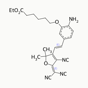 [C-]#[N+]C1=C(/C=C/c2ccc(N)c(OCCCCCC(=O)OCC)c2)C(C)(C)O/C1=C(\C#N)[N+]#[C-]